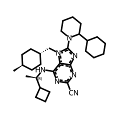 C[C@@H](Nc1nc(C#N)nc2nc(N3CCCCC3C3CCCCC3)n(C[C@H]3CC[C@H](C)CC3)c12)C1CCC1